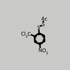 CC(=O)SSc1ccc([N+](=O)[O-])cc1C(Cl)(Cl)Cl